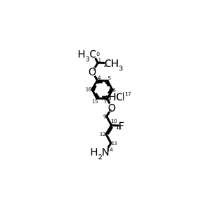 CC(C)Oc1ccc(OCC(F)=CCN)cc1.Cl